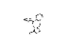 O=C1C=CN2Cc3ccccc3N(C(=O)O)CC12